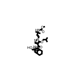 COC(=O)NC(C)(C)/C=C/n1ncc(C(=O)N[C@H]2C3CCCC2C[C@@](N)(CO)C3)c1OCC(C)C